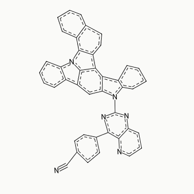 N#Cc1ccc(-c2nc(-n3c4ccccc4c4c5c6ccc7ccccc7c6n6c7ccccc7c(cc43)c56)nc3cccnc23)cc1